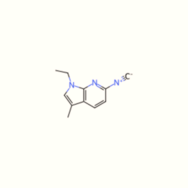 [C-]#[N+]c1ccc2c(C)cn(CC)c2n1